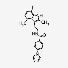 Cc1[nH]c2c(F)ccc(C)c2c1CCNC(=O)c1ccc(-n2ccnc2)cc1